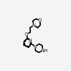 c1cc(OCCN2CCOCC2)nc(N2CCNCC2)c1